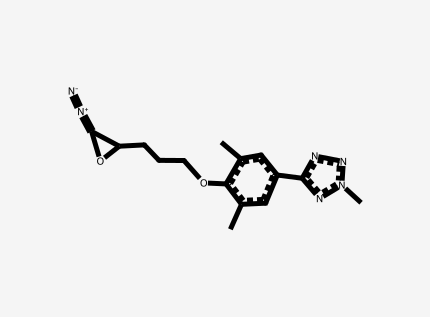 Cc1cc(-c2nnn(C)n2)cc(C)c1OCCCC1OC1=[N+]=[N-]